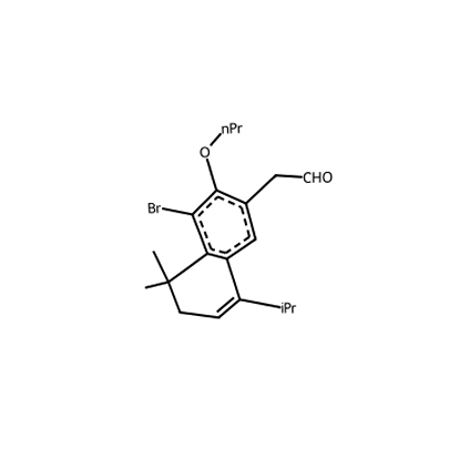 CCCOc1c(CC=O)cc2c(c1Br)C(C)(C)CC=C2C(C)C